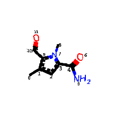 Cc1cc(C(N)=O)n(C)c1C=O